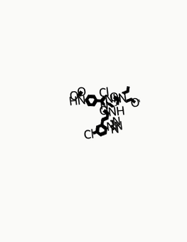 CCCN(CCOC)C(=O)C[C@H](NC(=O)/C=C/c1cc(Cl)ccc1-n1cnnn1)c1nc(-c2ccc(NC(=O)OC)cc2)c(Cl)[nH]1